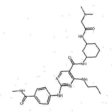 CCCNc1nc(Nc2ccc(C(=O)NC)cc2)ncc1C(=O)NC1CCCC(NC(=O)CN(C)C)C1